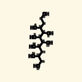 OCCC(O)C(O)C(O)C(O)C(O)CC(O)CO